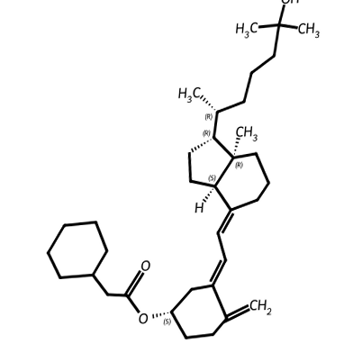 C=C1CC[C@H](OC(=O)CC2CCCCC2)CC1=CC=C1CCC[C@@]2(C)[C@@H]1CC[C@@H]2[C@H](C)CCCC(C)(C)O